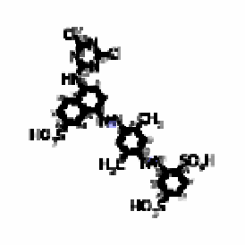 Cc1cc(/N=N/c2ccc(Nc3nc(Cl)nc(Cl)n3)c3ccc(S(=O)(=O)O)cc23)c(C)cc1/N=N/c1cc(S(=O)(=O)O)ccc1S(=O)(=O)O